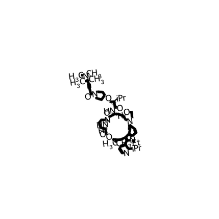 CCn1c(-c2cccnc2C(C)C)c2c3cc(ccc31)N1CCO[C@@H](C[C@H](NC(=O)[C@@H](COC3CCN(C(=O)C#CC(C)(C)N(C)C)CC3)C(C)C)C(=O)N3CCC[C@H](N3)C(=O)OCC(C)(C)C2)C1